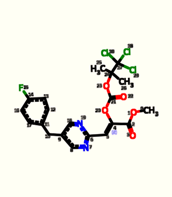 COC(=O)/C(=C/c1ncc(Cc2ccc(F)cc2)cn1)OC(=O)OC(C)(C)C(Cl)(Cl)Cl